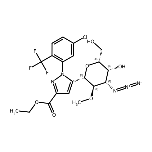 CCOC(=O)c1cc([C@@H]2O[C@H](CO)[C@H](O)[C@H](N=[N+]=[N-])[C@H]2OC)n(-c2cc(Cl)ccc2C(F)(F)F)n1